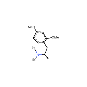 CCN(CC)[C@H](C)Cc1ccc(OC)cc1OC